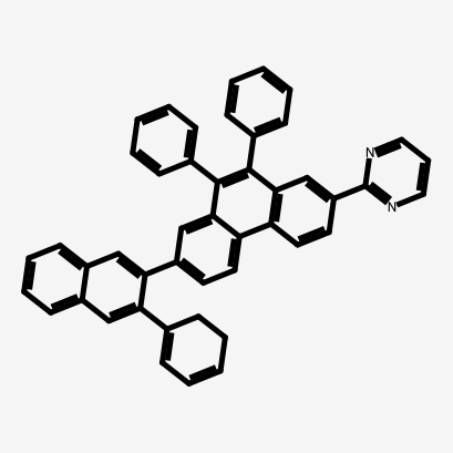 C1=CCCC(c2cc3ccccc3cc2-c2ccc3c(c2)c(-c2ccccc2)c(-c2ccccc2)c2cc(-c4ncccn4)ccc23)=C1